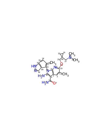 Cc1cc2c(C(N)=O)c(N)n(-c3c(C)ccc4[nH]ncc34)c2nc1OCC1(CN(C)C)CC1